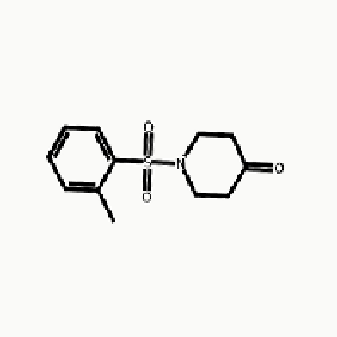 Cc1ccccc1S(=O)(=O)N1CCC(=O)CC1